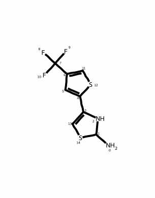 NC1NC(c2cc(C(F)(F)F)cs2)=CS1